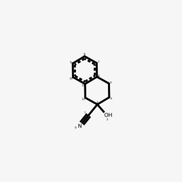 N#CC1(O)CCc2ccccc2C1